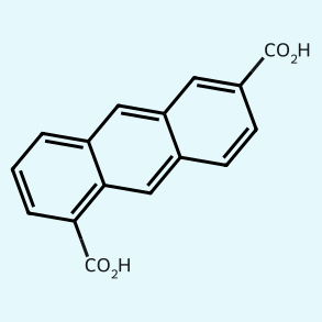 O=C(O)c1ccc2cc3c(C(=O)O)cccc3cc2c1